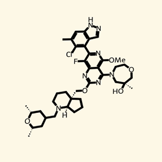 COc1nc(-c2c(Cl)c(C)cc3[nH]ncc23)c(F)c2nc(OC[C@]34CCC[C@H]3N(CC3C[C@@H](C)O[C@@H](C)C3)CCC4)nc(N3CCOC[C@@](C)(O)C3)c12